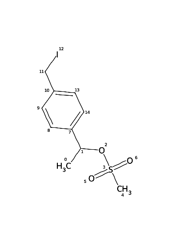 CC(OS(C)(=O)=O)c1ccc(CI)cc1